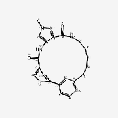 Cn1cc2c(n1)C(=O)NCCCCCc1cc(ccn1)-c1nc(co1)C(=O)N2